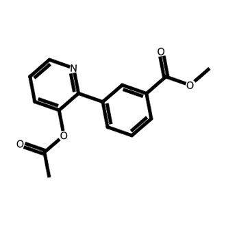 COC(=O)c1cccc(-c2ncccc2OC(C)=O)c1